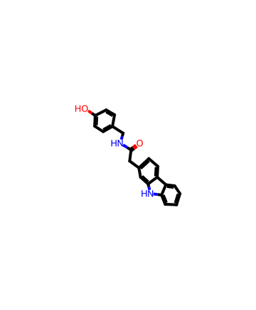 O=C(Cc1ccc2c(c1)[nH]c1ccccc12)NCc1ccc(O)cc1